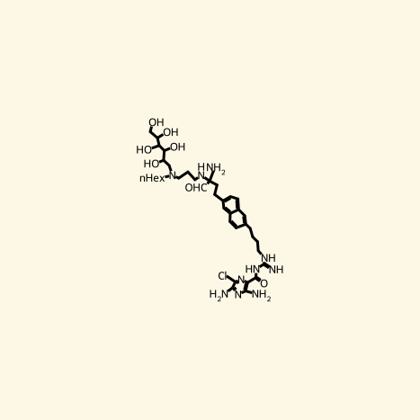 CCCCCCN(CCCNC(C=O)(CN)CCc1ccc2cc(CCCCNC(=N)NC(=O)c3nc(Cl)c(N)nc3N)ccc2c1)CC(O)C(O)C(O)C(O)CO